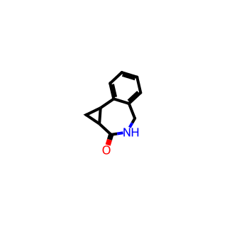 O=C1NCc2ccccc2C2CC12